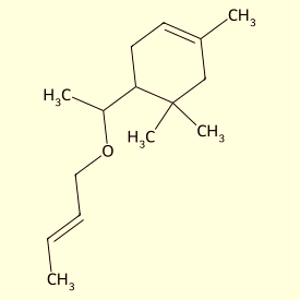 C/C=C/COC(C)C1CC=C(C)CC1(C)C